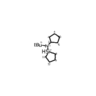 CC(C)(C)N(C1CCCC1)[SiH]1CCCC1